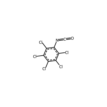 O=C=Nc1c(Cl)c(Cl)c(Cl)c(Cl)c1Cl